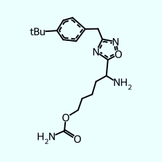 CC(C)(C)c1ccc(Cc2noc(C(N)CCCCOC(N)=O)n2)cc1